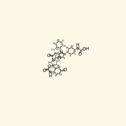 O=C(O)Nc1ccc(-c2c[nH]c([C@@H](Cc3ccccc3)C(=O)N3CC[C@]4(C3)OC(=O)Nc3ccc(Cl)cc34)n2)cc1